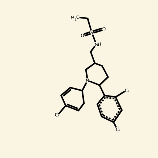 CCS(=O)(=O)NCC1CCC(c2ccc(Cl)cc2Cl)N(C2C=CC(Cl)=CC2)C1